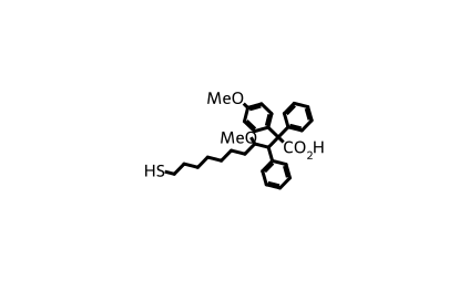 COc1ccc(C(C(=O)O)(c2ccccc2)C(c2ccccc2)C(CCCCCCCS)OC)cc1